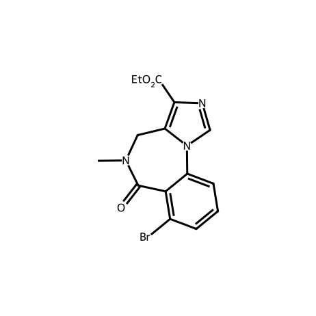 CCOC(=O)c1ncn2c1CN(C)C(=O)c1c(Br)cccc1-2